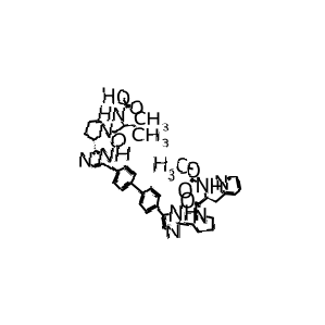 COC(=O)N[C@@H](Cc1ccccn1)C(=O)N1CCCC1c1ncc(-c2ccc(-c3ccc(-c4cnc([C@@H]5CCCN5C(=O)[C@@H](NC(=O)O)C(C)C)[nH]4)cc3)cc2)[nH]1